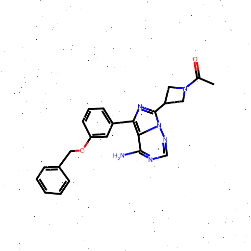 CC(=O)N1CC(c2nc(-c3cccc(OCc4ccccc4)c3)c3c(N)ncnn23)C1